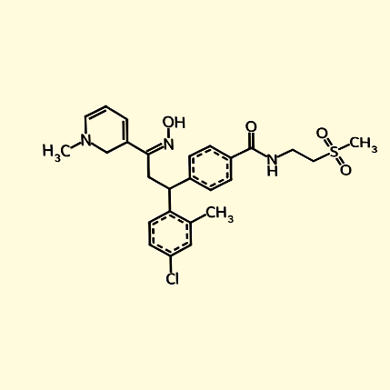 Cc1cc(Cl)ccc1C(CC(=NO)C1=CC=CN(C)C1)c1ccc(C(=O)NCCS(C)(=O)=O)cc1